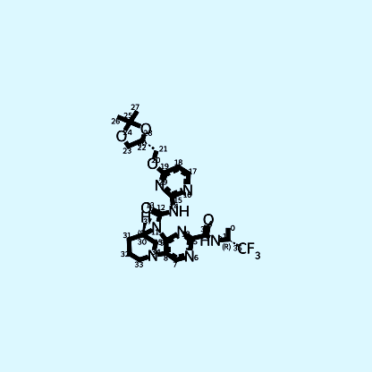 C[C@@H](NC(=O)c1ncc2c(n1)N(C(=O)Nc1nccc(OC[C@@H]3COC(C)(C)O3)n1)[C@H]1CCCN2C1)C(F)(F)F